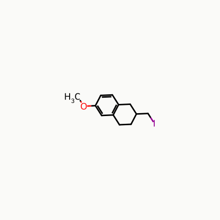 COc1ccc2c(c1)CCC(CI)C2